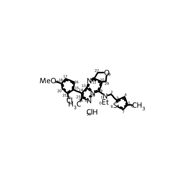 CCN(Cc1cc(C)cs1)c1c2c(nc3c(-c4ccc(OC)cc4Cl)c(C)nn13)COC2.Cl